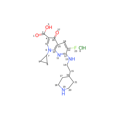 Cl.O=C(O)c1cn(C2CC2)c2nc(NCCC3CCNCC3)c(F)cc2c1=O